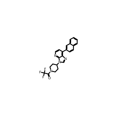 O=C(N1CCC(n2cnc3c(-c4ccc5ccccc5c4)ccnc32)CC1)C(F)(F)F